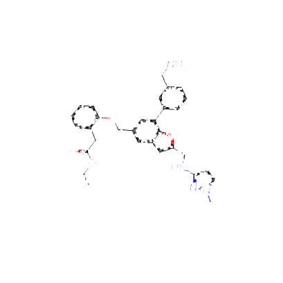 CCOC(=O)Cc1ccccc1OCc1cc(-c2cccc(CN)c2)c2oc(CNc3ccn(C)n3)cc2c1